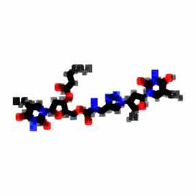 CC[C@H]1O[C@@H](n2cc(C)c(=O)[nH]c2=O)C[C@H]1n1cc(CNC(=O)OC[C@H]2O[C@@H](n3cc(C)c(=O)[nH]c3=O)C[C@H]2OC(=O)CCC(=O)O)nn1